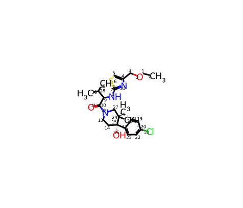 CCOCc1csc(N[C@@H](C(=O)N2CC[C@](O)(c3ccc(Cl)cc3)C(C)(C)C2)C(C)C)n1